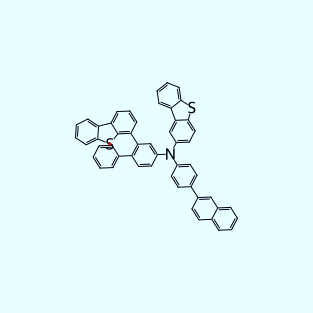 c1ccc(-c2ccc(N(c3ccc(-c4ccc5ccccc5c4)cc3)c3ccc4sc5ccccc5c4c3)cc2-c2cccc3c2sc2ccccc23)cc1